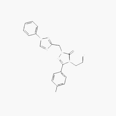 O=c1n(Cc2ncn(-c3ccccc3)n2)nc(-c2ccc(Cl)cc2)n1C[C@H](O)C(F)(F)F